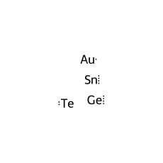 [Au].[Ge].[Sn].[Te]